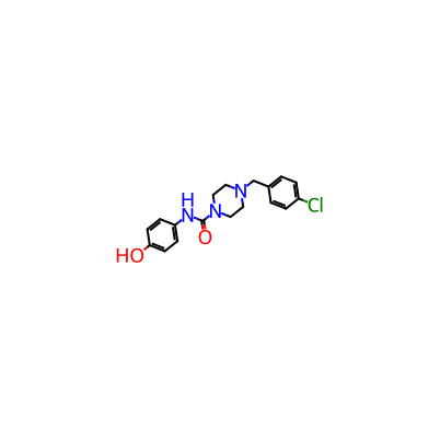 O=C(Nc1ccc(O)cc1)N1CCN(Cc2ccc(Cl)cc2)CC1